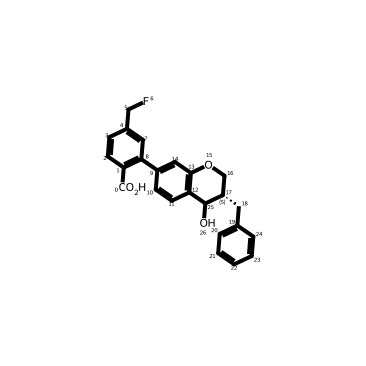 O=C(O)c1ccc(CF)cc1-c1ccc2c(c1)OC[C@H](Cc1ccccc1)C2O